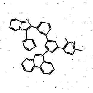 Cc1ccc(-c2cc(-c3cccc(-c4nc5ccccn5c4-c4ccccc4)c3)cc(-c3cc4ccccc4c4ccccc34)c2)c(C)n1